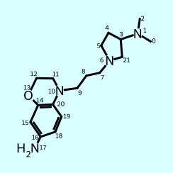 CN(C)C1CCN(CCCN2CCOc3cc(N)ccc32)C1